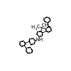 CC1(C)c2ccc(Nc3ccc(-c4ccccc4-c4ccccc4)cc3)cc2-c2cccc(-c3ccccc3)c21